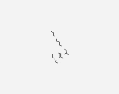 CC(O)CO.CC(O)CO.CCCCOCCC.CCOCC